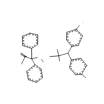 Clc1ccc(C(c2ccc(Cl)cc2)C(Cl)(Cl)Cl)cc1.O=C(O)C(OCl)(c1ccccc1)c1ccccc1